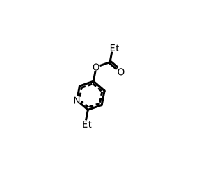 CCC(=O)Oc1ccc(CC)nc1